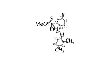 COC(=S)N(O)c1cc(F)ccc1COc1ccc(C)cc1C